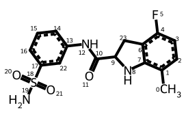 Cc1ccc(F)c2c1NC(C(=O)Nc1cccc(S(N)(=O)=O)c1)C2